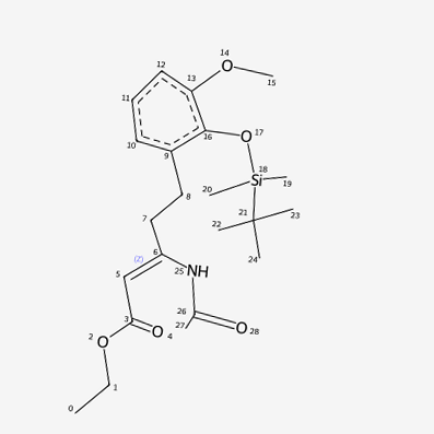 CCOC(=O)/C=C(/CCc1cccc(OC)c1O[Si](C)(C)C(C)(C)C)NC(C)=O